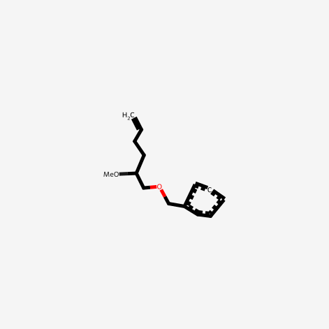 C=CCCC(COCc1ccccc1)OC